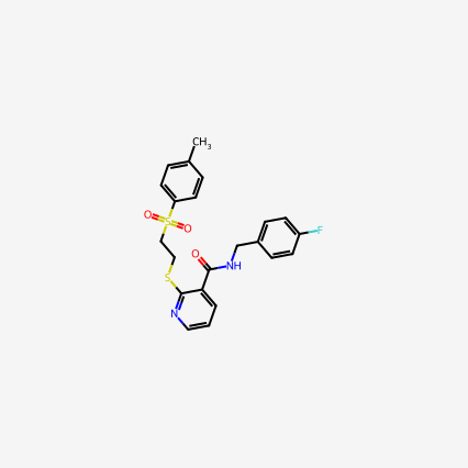 Cc1ccc(S(=O)(=O)CCSc2ncccc2C(=O)NCc2ccc(F)cc2)cc1